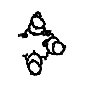 CC(C)CN1CCN(C)CCN(CC(C)CCN2CCN3CCOCCOCCN(CCOCC3)CCN(Cc3cc(CN4CCOCCN(Cc5ccn[nH]5)CCN5CCOCCN(CCOc6ccccc6OCC5)CC4)[nH]n3)Cc3cccc(n3)C2)CCN2CCOCCOCCN(CCOCC2)CC1